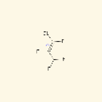 F/C(Cl)=C(/F)C(F)F